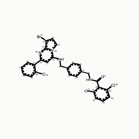 O=C(NCc1ccc(CNc2cc(-c3ccccc3Cl)nc3c(Br)ccn23)cc1)c1c(Cl)cccc1Cl